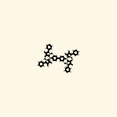 Cc1c(C)c(N(c2ccc(-c3ccc(N(c4c(C)c(C)c(-c5ccccc5)n4C)c4c(C)c(C)c(-c5ccccc5)n4C)cc3)cc2)c2c(C)c(C)c(-c3ccccc3)n2C)n(C)c1-c1ccccc1